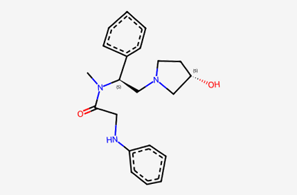 CN(C(=O)CNc1ccccc1)[C@H](CN1CC[C@H](O)C1)c1ccccc1